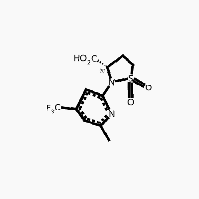 Cc1cc(C(F)(F)F)cc(N2[C@H](C(=O)O)CCS2(=O)=O)n1